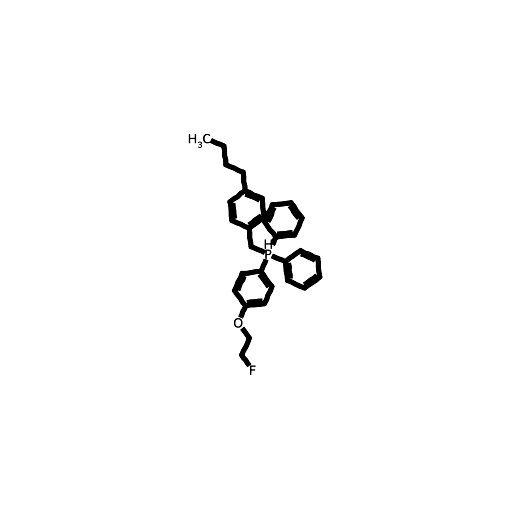 CCCCc1ccc(C[PH](c2ccccc2)(c2ccccc2)c2ccc(OCCF)cc2)cc1